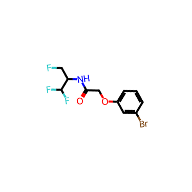 O=C(COc1cccc(Br)c1)NC(CF)C(F)F